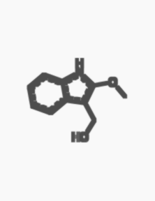 COc1[nH]c2ccccc2c1CO